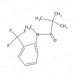 CN(C(=O)C(C)(C)C)c1ccccc1C(F)(F)F